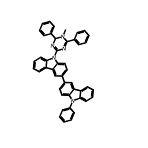 CN1C(c2ccccc2)=NC(n2c3ccccc3c3cc(-c4ccc5c(c4)c4ccccc4n5-c4ccccc4)ccc32)=NC1c1ccccc1